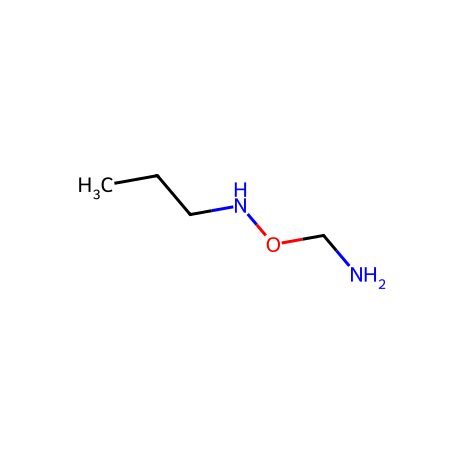 CCCNOCN